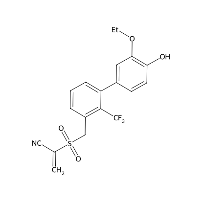 C=C(C#N)S(=O)(=O)Cc1cccc(-c2ccc(O)c(OCC)c2)c1C(F)(F)F